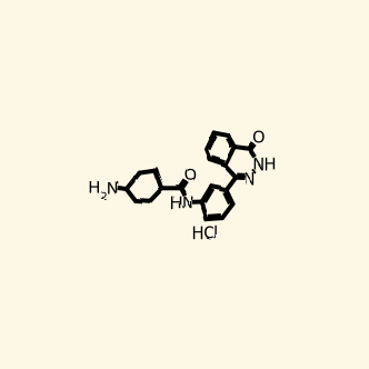 Cl.NC1CCC(C(=O)Nc2cccc(-c3n[nH]c(=O)c4ccccc34)c2)CC1